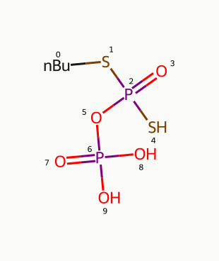 CCCCSP(=O)(S)OP(=O)(O)O